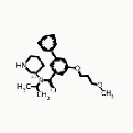 COCCCOc1cc(C(=O)N(C(C)C)[C@@H]2CCCNC2)cc(-c2ccccc2)c1